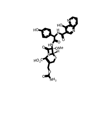 CO[C@@]1(NC(=O)C(NC(=O)c2cnc3cccnc3c2O)c2ccc(O)cc2)C(=O)N2C(C(=O)O)=C(COC(N)=O)CS[C@H]21